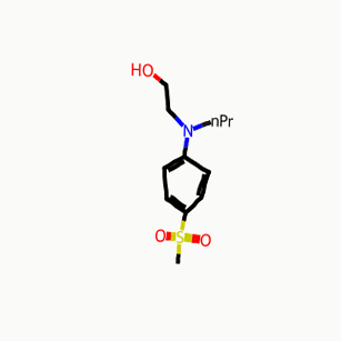 CCCN(CCO)c1ccc(S(C)(=O)=O)cc1